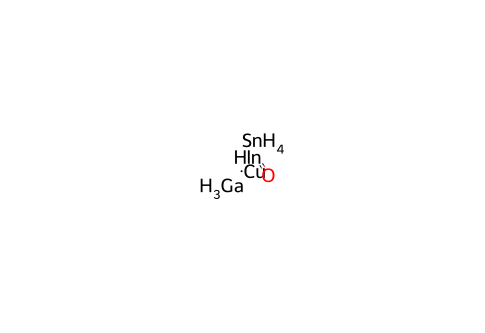 [Cu].[GaH3].[O]=[InH].[SnH4]